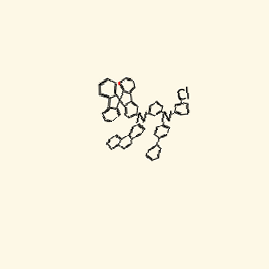 Clc1cccc(N(c2ccc(-c3ccccc3)cc2)c2cccc(N(c3ccc4c(c3)-c3ccccc3C43c4ccccc4-c4ccccc43)c3ccc4ccc5ccccc5c4c3)c2)c1